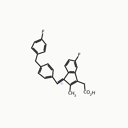 CC1=C(CC(=O)O)c2cc(F)ccc2/C1=C\c1ccc(Cc2ccc(F)cc2)cc1